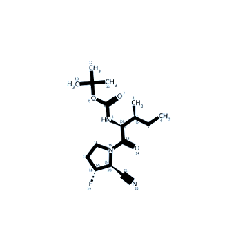 CC[C@H](C)[C@H](NC(=O)OC(C)(C)C)C(=O)N1CC[C@@H](F)[C@@H]1C#N